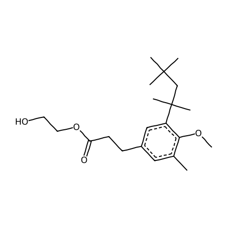 COc1c(C)cc(CCC(=O)OCCO)cc1C(C)(C)CC(C)(C)C